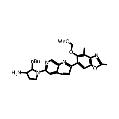 CCCCC1C(N)CCN1c1cc2ccc(-c3cc4oc(C)nc4c(C)c3OCOC)nc2cn1